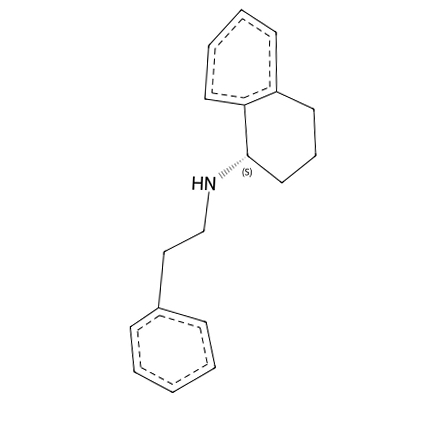 c1ccc(CCN[C@H]2CCCc3ccccc32)cc1